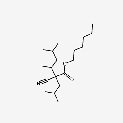 CCCCCCOC(=O)C(C#N)(CC(C)C)C(C)CC(C)C